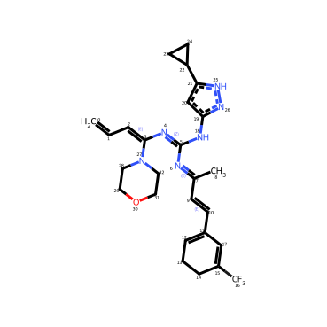 C=C/C=C(/N=C(\N=C(C)\C=C\C1=CCCC(C(F)(F)F)=C1)Nc1cc(C2CC2)[nH]n1)N1CCOCC1